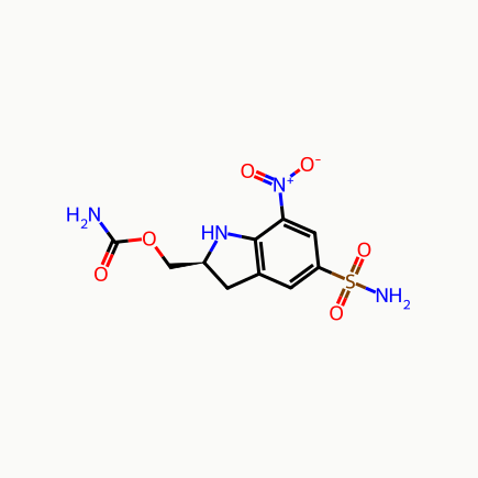 NC(=O)OC[C@@H]1Cc2cc(S(N)(=O)=O)cc([N+](=O)[O-])c2N1